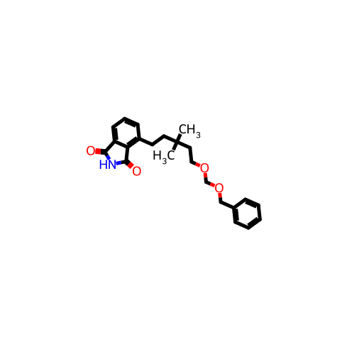 CC(C)(CCOCOCc1ccccc1)CCc1cccc2c1C(=O)NC2=O